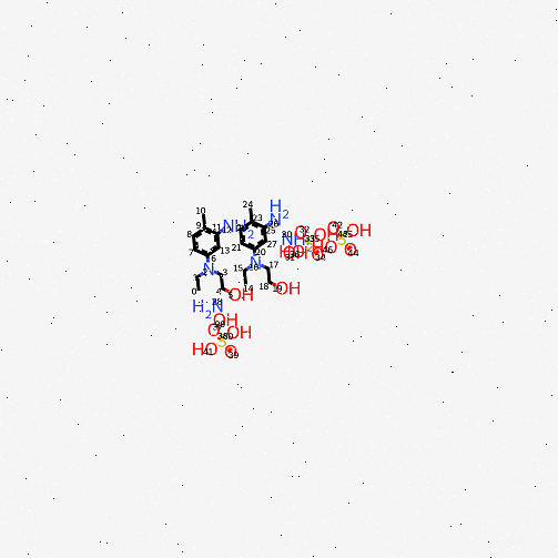 CCN(CCO)c1ccc(C)c(N)c1.CCN(CCO)c1ccc(C)c(N)c1.NO.NO.O=S(=O)(O)O.O=S(=O)(O)O.O=S(=O)(O)O